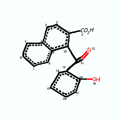 O=C(O)c1ccc2ccccc2c1C(=O)c1ccccc1O